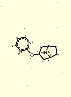 c1cnc(OC2CC3CCC(C2)N3)nc1